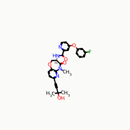 CN1C(=O)[C@@H](NC(=O)c2cc(Oc3cccc(F)c3)ccn2)COc2ccc(C#CC(C)(C)O)nc21